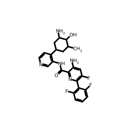 CC1CC(c2ccncc2NC(=O)c2nc(-c3c(F)cccc3F)c(F)cc2N)CC(N)C1O